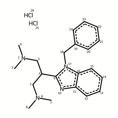 CN(C)CC(CN(C)C)c1nc2ccccc2n1Cc1ccccc1.Cl.Cl